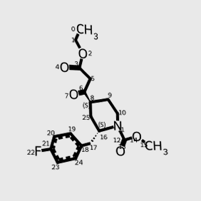 CCOC(=O)CC(=O)[C@H]1CCN(C(=O)OC)[C@H](Cc2ccc(F)cc2)C1